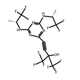 C[C@@H](Nc1nc(C#CC(O)(C(F)(F)F)C(F)(F)F)nc(N[C@H](C)C(F)(F)F)n1)C(F)(F)F